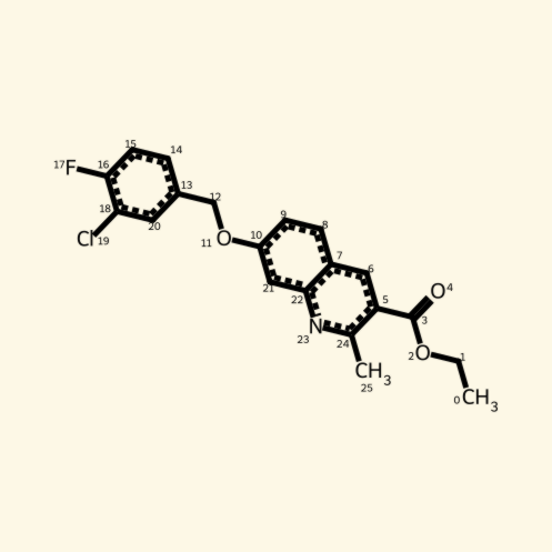 CCOC(=O)c1cc2ccc(OCc3ccc(F)c(Cl)c3)cc2nc1C